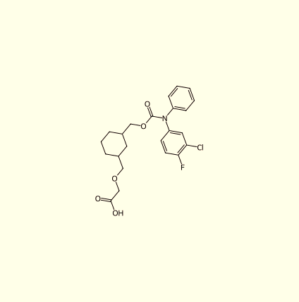 O=C(O)COCC1CCCC(COC(=O)N(c2ccccc2)c2ccc(F)c(Cl)c2)C1